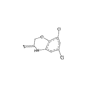 S=C1COc2c(Cl)cc(Cl)cc2N1